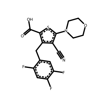 N#Cc1c(N2CCOCC2)sc(C(=O)O)c1Cc1cc(F)c(F)cc1F